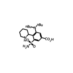 CCCCN(CCCC)c1cc(C(=O)O)cc(S(N)(=O)=O)c1C1CCCCN1